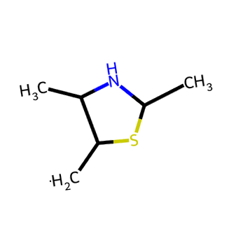 [CH2]C1SC(C)NC1C